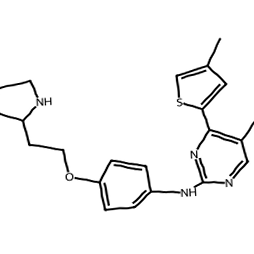 Cc1csc(-c2nc(Nc3ccc(OCCC4CCCN4)cc3)ncc2C)c1